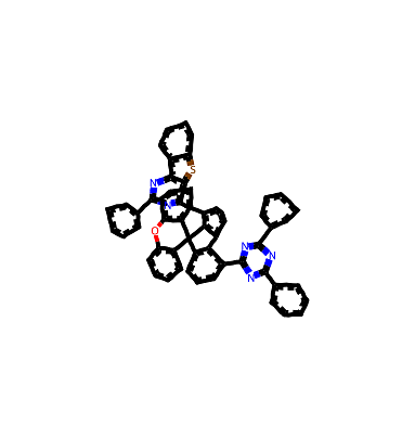 c1ccc(-c2nc(-c3ccccc3)nc(-c3cccc4c3-c3cccc(-c5nc(-c6ccccc6)nc6c5sc5ccccc56)c3C43c4ccccc4Oc4ccccc43)n2)cc1